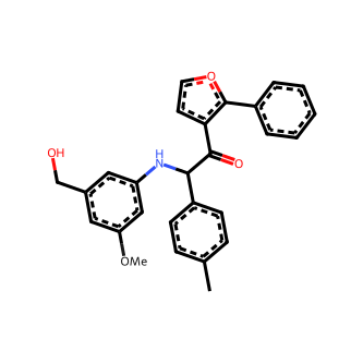 COc1cc(CO)cc(NC(C(=O)c2ccoc2-c2ccccc2)c2ccc(C)cc2)c1